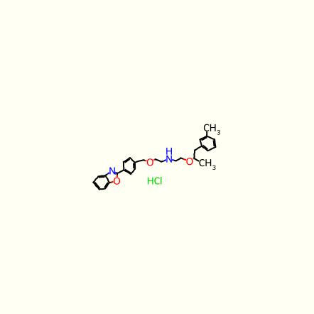 Cc1cccc(CC(C)OCCNCCOCc2ccc(-c3nc4ccccc4o3)cc2)c1.Cl